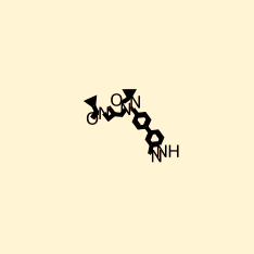 O=C(C1CC1)N1CC(CN2C(=O)C3(CC3)N=C2c2ccc(-c3ccc4[nH]ncc4c3)cc2)C1